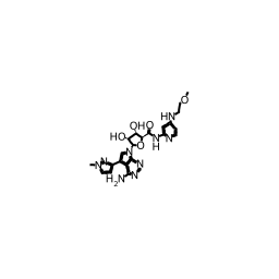 COCCNc1ccnc(NC(=O)[C@H]2O[C@@H](n3cc(-c4ccn(C)n4)c4c(N)ncnc43)[C@H](O)[C@@H]2O)c1